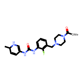 COC(=O)N1CCN(Cc2cccc(NC(=O)NC3=CNC(C)C=C3)c2F)CC1